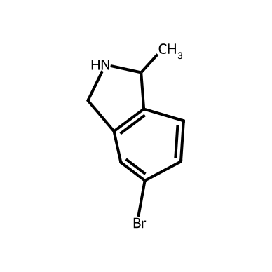 CC1NCc2cc(Br)ccc21